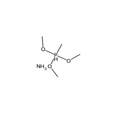 CO[PH](C)(OC)OC.N